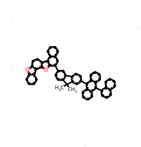 CC1(C)c2ccc(-c3cc4ccccc4c4c3oc3c4ccc4oc5ccccc5c43)cc2-c2ccc(-c3c4ccccc4c(-c4cccc5ccccc45)c4ccccc34)cc21